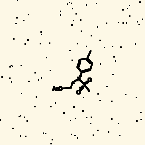 CC(=O)OCCN(c1ccc(C)cc1)S(C)(=O)=O